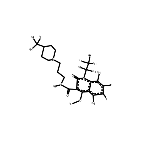 [2H]Oc1c(C(=O)N([2H])CCCN2CCC(C([2H])([2H])[2H])CC2)c(=O)n(C([2H])([2H])C([2H])([2H])[2H])c2c([2H])c(F)c([2H])c([2H])c12